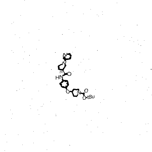 CC(C)(C)OC(=O)N1CCC(Oc2ccc(NC(=O)[C@H]3CCN(c4cccnc4)C3)cc2)CC1